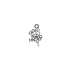 CCCOC(=O)N(OC(=O)CCCc1ccccc1)C(=N)N(C)C(CC)C(=O)O